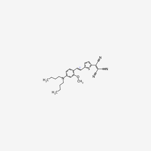 CCCCN(CCCC)c1ccc(/C=C/c2ccc(C(C#N)=C(C#N)C#N)s2)c(OC)c1